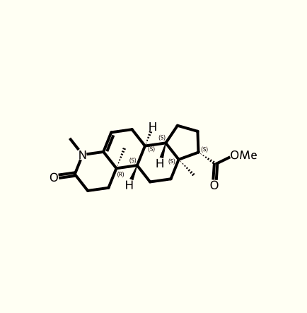 COC(=O)[C@H]1CC[C@H]2[C@@H]3CC=C4N(C)C(=O)CC[C@]4(C)[C@H]3CC[C@]12C